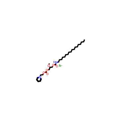 CCCCCCCCCCCCCCCCCCNC(=O)OCC(COC(=O)OCC[n+]1ccccc1)OC.[Br-]